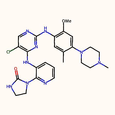 COc1cc(N2CCN(C)CC2)c(C)cc1Nc1ncc(Cl)c(Nc2cccnc2N2CCNC2=O)n1